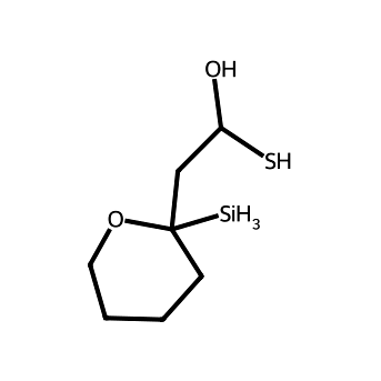 OC(S)CC1([SiH3])CCCCO1